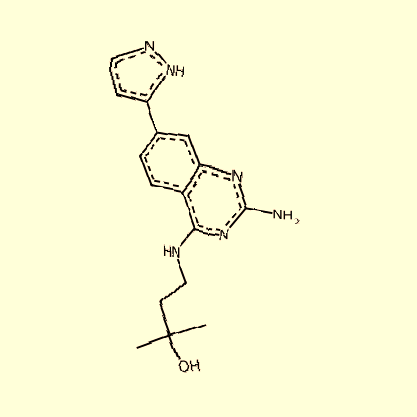 CC(C)(O)CCNc1nc(N)nc2cc(-c3ccn[nH]3)ccc12